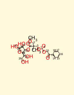 COCC(C)(COC(=O)OCC(=O)c1ccccc1)C(=O)OC1[C@@H](C(O)CO)O[C@H](O)[C@@H]1O